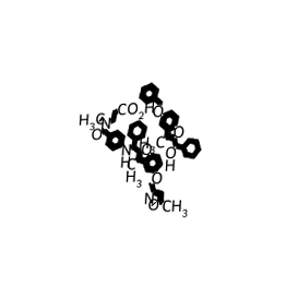 Cc1c(C(O)C2CCCCC2)oc2ccc(OCc3ccccc3)cc12.Cc1cc(COc2ccc3oc(C(Nc4ccc(C(=O)N(C)CCC(=O)O)cc4)C4CCCCC4)c(C)c3c2)no1